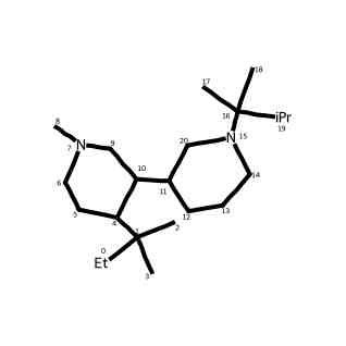 CCC(C)(C)C1CCN(C)CC1C1CCCN(C(C)(C)C(C)C)C1